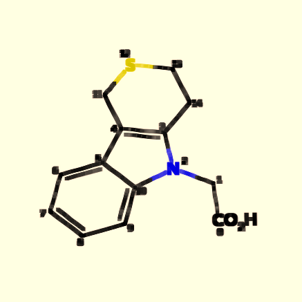 O=C(O)Cn1c2c(c3ccccc31)CSCC2